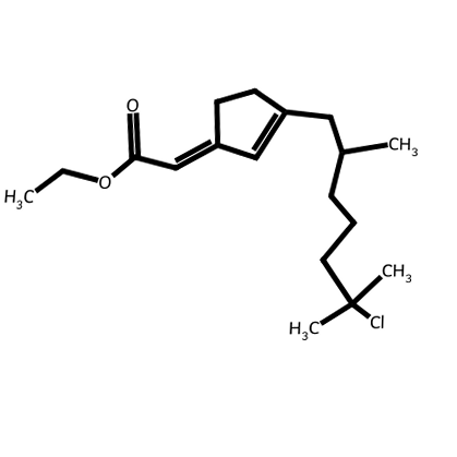 CCOC(=O)/C=C1/C=C(CC(C)CCCC(C)(C)Cl)CC1